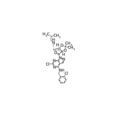 CC(C)CNC[C@H]1O[C@@H](n2ncc3c(NCc4ccccc4Cl)nc(Cl)nc32)[C@@H]2OC(C)(C)O[C@@H]21